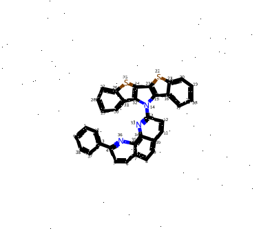 c1ccc(-c2ccc3ccc4ccc(-n5c6c7ccccc7sc6c6sc7ccccc7c65)nc4c3n2)cc1